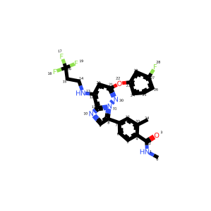 CNC(=O)c1ccc(-c2cnc3c(NCCC(F)(F)F)cc(Oc4cccc(F)c4)nn23)cc1C